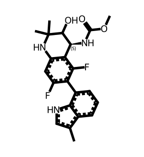 COC(=O)N[C@H]1c2c(cc(F)c(-c3cccc4c(C)c[nH]c34)c2F)NC(C)(C)C1O